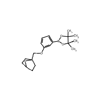 CC1(C)OB(c2cccc(OCC34CCC(CC3)O4)c2)OC1(C)C